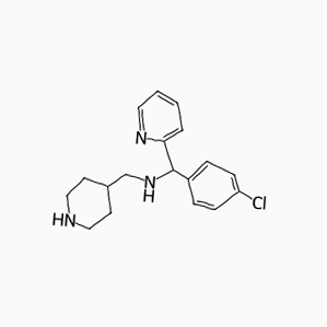 Clc1ccc(C(NCC2CCNCC2)c2ccccn2)cc1